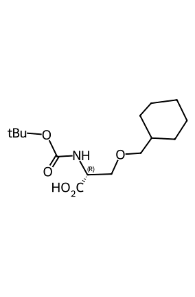 CC(C)(C)OC(=O)N[C@H](COCC1CCCCC1)C(=O)O